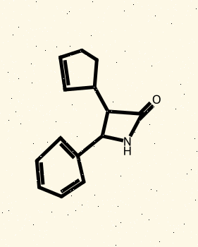 O=C1NC(c2ccccc2)C1C1C=CCC1